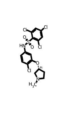 CN1CC[C@@H](Oc2cc(NS(=O)(=O)c3c(Cl)cc(Cl)cc3Cl)ccc2Cl)C1